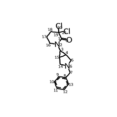 O=C1N(C2C3CN(Cc4ccccc4)CC32)CCCC1(Cl)Cl